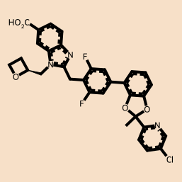 CC1(c2ccc(Cl)cn2)Oc2cccc(-c3cc(F)c(Cc4nc5ccc(C(=O)O)cc5n4C[C@@H]4CCO4)c(F)c3)c2O1